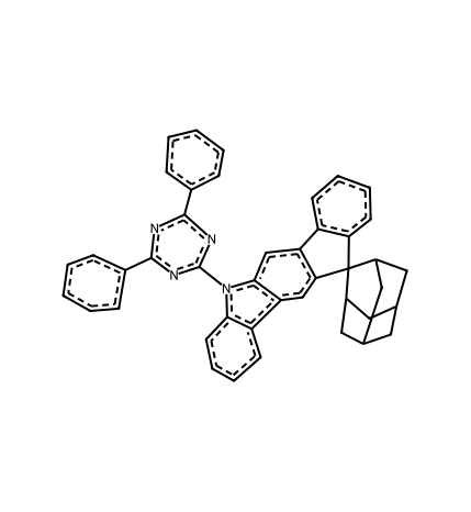 c1ccc(-c2nc(-c3ccccc3)nc(-n3c4ccccc4c4cc5c(cc43)-c3ccccc3C53C4CC5CC(C4)CC3C5)n2)cc1